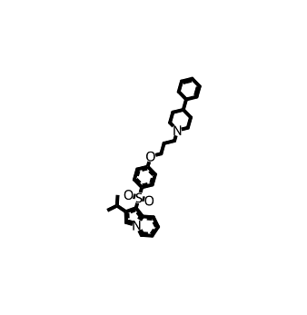 CC(C)c1cn2ccccc2c1S(=O)(=O)c1ccc(OCCCN2CCC(C3C=CC=CC3)CC2)cc1